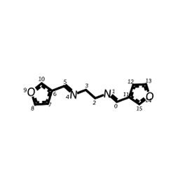 C(=NCCN=Cc1ccoc1)c1ccoc1